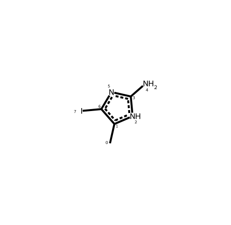 Cc1[nH]c(N)nc1I